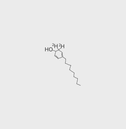 [2H]C1([2H])C=C(CCCCCCCCC)C=CC1O